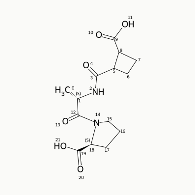 C[C@H](NC(=O)C1CCC1C(=O)O)C(=O)N1CCC[C@H]1C(=O)O